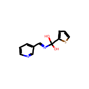 OC(O)(/N=C/c1cccnc1)c1cccs1